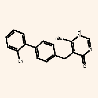 CCCCc1[nH]cnc(=O)c1Cc1ccc(-c2ccccc2C#N)cc1